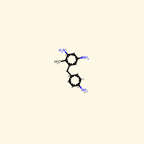 Cc1c(N)cc(N)cc1Cc1ccc(N)cc1